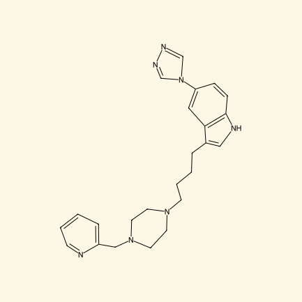 c1ccc(CN2CCN(CCCCc3c[nH]c4ccc(-n5cnnc5)cc34)CC2)nc1